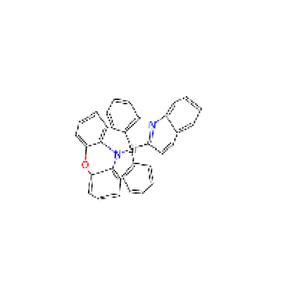 c1ccc([Si](c2ccccc2)(c2ccc3ccccc3n2)N2c3ccccc3Oc3ccccc32)cc1